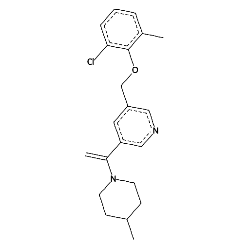 C=C(c1cncc(COc2c(C)cccc2Cl)c1)N1CCC(C)CC1